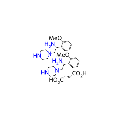 COc1ccccc1C(N)CN1CCNCC1.COc1ccccc1C(N)CN1CCNCC1.O=C(O)C=CC(=O)O